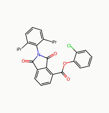 CC(C)c1cccc(C(C)C)c1N1C(=O)c2cccc(C(=O)Oc3ccccc3Cl)c2C1=O